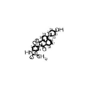 Cc1cc2[nH]c(=O)n(C)c2cc1N1C(=O)c2cccc3c(N4CCC(O)CC4)ccc(c23)C1=O